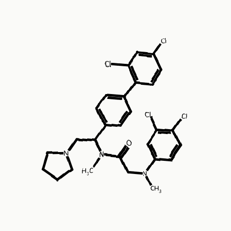 CN(CC(=O)N(C)C(CN1CCCC1)c1ccc(-c2ccc(Cl)cc2Cl)cc1)c1ccc(Cl)c(Cl)c1